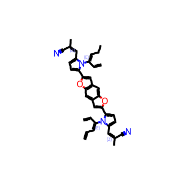 C=C/C=C(\C=C)n1c(/C=C(/C)C#N)ccc1-c1cc2cc3oc(-c4ccc(/C=C(/C)C#N)n4/C(C=C)=C/CC)cc3cc2o1